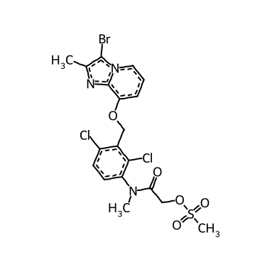 Cc1nc2c(OCc3c(Cl)ccc(N(C)C(=O)COS(C)(=O)=O)c3Cl)cccn2c1Br